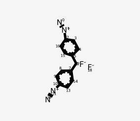 N#[N+]c1ccc(Cc2ccc([N+]#N)cc2)cc1.[F-].[F-]